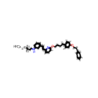 CCC(CC)(CCNc1cccc(C=Cc2cccc(OCCCCc3ccc(OCCc4ccccc4)cc3)n2)c1)C(=O)O